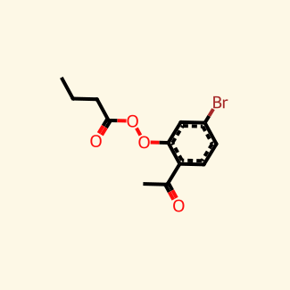 CCCC(=O)OOc1cc(Br)ccc1C(C)=O